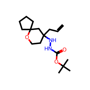 C=CCC1(NNC(=O)OC(C)(C)C)CCOC2(CCCC2)C1